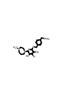 [CH2]C(=O)NCc1ccc(CSc2nc(N3CCCN(C)CC3)c(C#N)c(CC)c2C#N)cc1